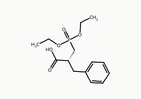 CCOP(=O)(C[C@H](Cc1ccccc1)C(=O)O)OCC